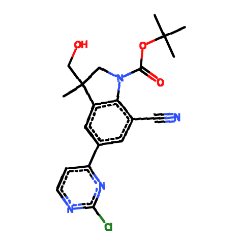 CC(C)(C)OC(=O)N1CC(C)(CO)c2cc(-c3ccnc(Cl)n3)cc(C#N)c21